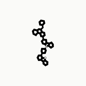 c1ccc(Cc2cc3ccccc3c3cc(-c4ccc5c(c4)c4ccccc4n5-c4ccc(-c5cccc6c5oc5ccccc56)cc4)ccc23)cc1